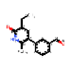 CCc1cc(-c2cccc(C=O)c2)c(C)[nH]c1=O